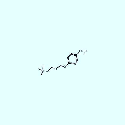 C[Si](C)(C)CCOCOc1ccc(C(=O)O)cc1